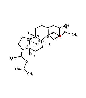 CC(=O)OC[C@]12CCC(O)CC1CC[C@@H]1[C@@H]2CC[C@]2(C)[C@@H](C(C)OC(C)=O)CC[C@@]12O